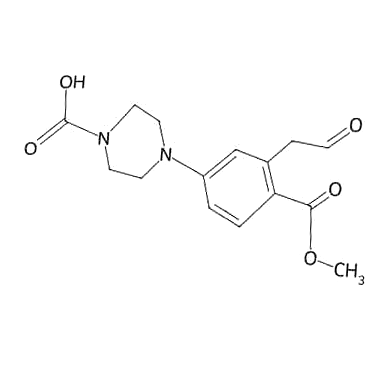 COC(=O)c1ccc(N2CCN(C(=O)O)CC2)cc1CC=O